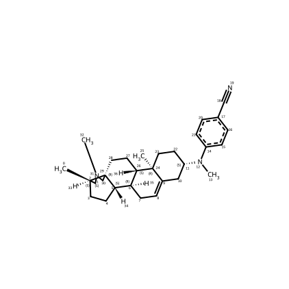 C[C@H]1[C@H]2CC[C@H]3[C@@H]4CC=C5C[C@@H](N(C)c6ccc(C#N)cc6)CC[C@]5(C)[C@H]4CC[C@]23CN1C